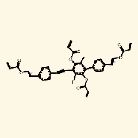 C=CC(=O)O/C=C/c1ccc(C#Cc2c(F)c(OC(=O)C=C)c(-c3ccc(/C=C/OC(=O)C=C)cc3)c(C)c2OC(=O)C=C)cc1